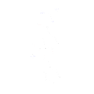 N=C(N)NC(=O)c1ccc(OCc2ccccc2)c(S(N)(=O)=O)c1